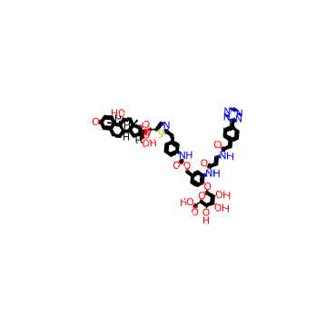 C[C@]12C=CC(=O)C=C1CC[C@@H]1[C@@H]2[C@@H](O)C[C@@]2(C)[C@H]1C[C@H]1O[C@H](c3cnc(Cc4cccc(NC(=O)OCc5ccc(O[C@@H]6O[C@H](C(=O)O)[C@@H](O)[C@H](O)[C@H]6O)c(NC(=O)CCNC(=O)Cc6ccc(-c7nncnn7)cc6)c5)c4)s3)O[C@]12C(=O)CO